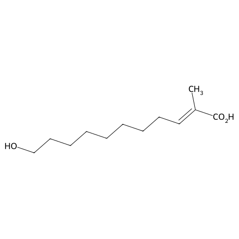 CC(=CCCCCCCCCO)C(=O)O